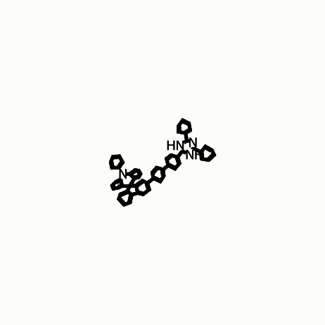 c1ccc(C2=NC(c3ccccc3)NC(c3ccc(-c4ccc(-c5ccc6c(c5)C5(c7ccccc7-6)c6ccccc6N(c6ccccc6)c6ccccc65)cc4)cc3)N2)cc1